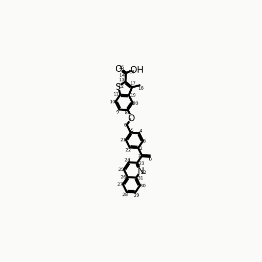 C=C(c1ccc(COc2ccc3sc(C(=O)O)c(C)c3c2)cc1)c1ccc2ccccc2n1